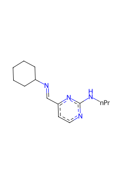 CCCNc1nccc(C=NC2CCCCC2)n1